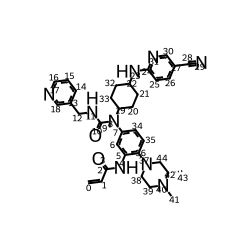 C=CC(=O)Nc1cc(N(C(=O)NCc2cccnc2)C2CCC(Nc3ccc(C#N)cn3)CC2)ccc1N1CCN(C)[C@@H](C)C1